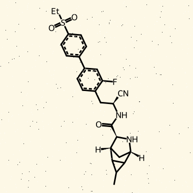 CCS(=O)(=O)c1ccc(-c2ccc(C[C@@H](C#N)NC(=O)[C@H]3N[C@H]4C[C@@H]3C3C(C)C34)c(F)c2)cc1